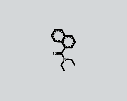 CCN(CC)C(=O)c1cccc2ccccc12